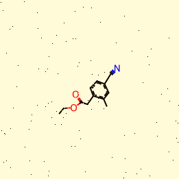 CCOC(=O)Cc1ccc(C#N)cc1C